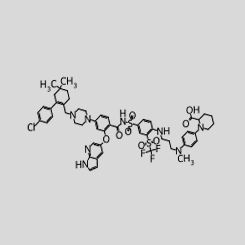 CN(CCCNc1ccc(S(=O)(=O)NC(=O)c2ccc(N3CCN(CC4=C(c5ccc(Cl)cc5)CC(C)(C)CC4)CC3)cc2Oc2cnc3[nH]ccc3c2)cc1S(=O)(=O)C(F)(F)F)c1ccc(N2CCCCC2C(=O)O)cc1